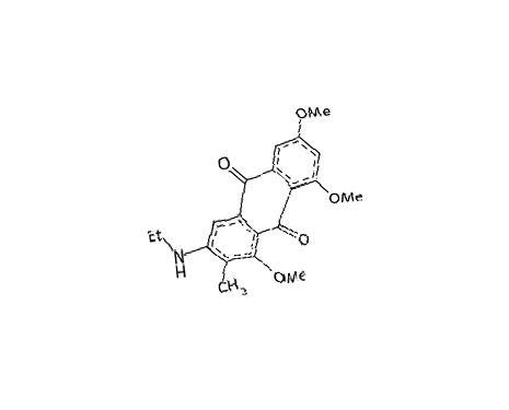 CCNc1cc2c(c(OC)c1C)C(=O)c1c(OC)cc(OC)cc1C2=O